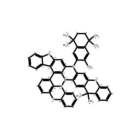 Cc1cc2c(cc1N1c3cc4c(cc3B3c5c1cc1oc6ccccc6c1c5-c1cccc5c1N3c1ccccc1S5)C(C)(C)c1ccccc1O4)C(C)(C)CCC2(C)C